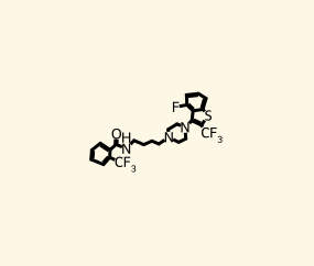 O=C(NCCCCN1CCN(c2c(C(F)(F)F)sc3cccc(F)c23)CC1)c1ccccc1C(F)(F)F